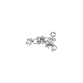 C[C@H](C(CC1(O)CCCOC1)S(=O)(=O)c1ccccc1)[C@H]1CC[C@H]2[C@@H]3CC=C4C[C@@](C)(O)CC[C@]4(C)[C@H]3CC[C@]12C